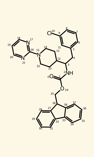 O=C(NC(Cc1cccc(Cl)c1)C1CCN(c2ncccn2)CC1)OCC1c2ccccc2-c2ccccc21